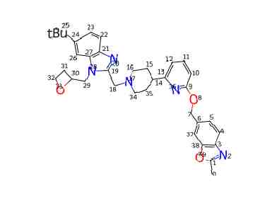 Cc1nc2ccc(COc3cccc(C4CCN(Cc5nc6ccc(C(C)(C)C)cc6n5CC5CCO5)CC4)n3)cc2o1